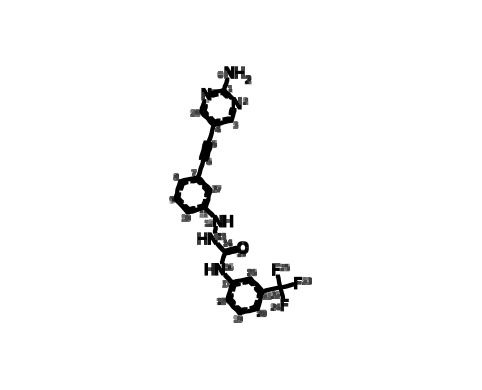 Nc1ncc(C#Cc2cccc(NNC(=O)Nc3cccc(C(F)(F)F)c3)c2)cn1